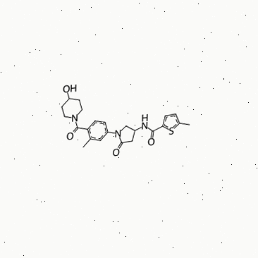 Cc1ccc(C(=O)NC2CC(=O)N(c3ccc(C(=O)N4CCC(O)CC4)c(C)c3)C2)s1